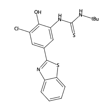 CC(C)(C)NC(=S)Nc1cc(-c2nc3ccccc3s2)cc(Cl)c1O